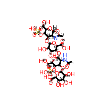 CC(=O)NC1[C@H](O[C@@H]2C(C(=O)O)O[C@@H](O[C@@H]3C4N=C(C)O[C@H]4OC(CO)[C@@H]3OS(=O)(=O)O)C(O)[C@H]2O)OC(CO)[C@H](OS(=O)(=O)O)[C@@H]1O[C@@H]1OC(C(=O)O)[C@@H](O)[C@H](O)C1O